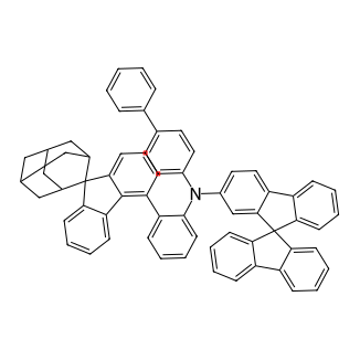 c1ccc(-c2ccc(N(c3ccc4c(c3)C3(c5ccccc5-c5ccccc53)c3ccccc3-4)c3ccccc3-c3cccc4c3-c3ccccc3C43C4CC5CC(C4)CC3C5)cc2)cc1